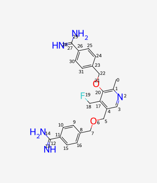 Cc1ncc(COCc2ccc(C(=N)N)cc2)c(CF)c1OCc1ccc(C(=N)N)cc1